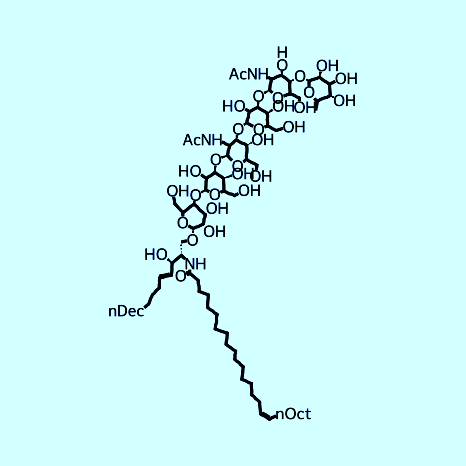 CCCCCCCC/C=C\CCCCCCCCCCCCCCCC(=O)N[C@@H](CO[C@@H]1OC(CO)[C@@H](O[C@@H]2OC(CO)[C@H](O)[C@H](O[C@@H]3OC(CO)[C@@H](O)[C@H](O[C@@H]4OC(CO)[C@H](O)[C@H](O[C@@H]5OC(CO)[C@@H](O[C@H]6OC(C)[C@@H](O)C(O)[C@@H]6O)[C@H](O)C5NC(C)=O)C4O)C3NC(C)=O)C2O)[C@H](O)C1O)[C@H](O)/C=C/CCCCCCCCCCCCC